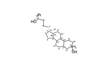 CC(C)C(O)CCC[C@H]1CCC2C3CCC4C[C@@](C)(O)CCC4C3CC[C@@]21C